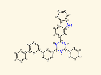 C1=CC(c2cccc(-c3nc(C4=CCCC=C4)nc(-c4ccc5c(c4)[nH]c4ccccc45)n3)c2)CC(c2ccccc2)=C1